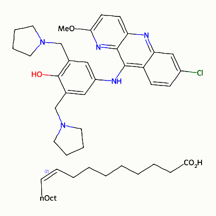 CCCCCCCC/C=C\CCCCCCCC(=O)O.COc1ccc2nc3cc(Cl)ccc3c(Nc3cc(CN4CCCC4)c(O)c(CN4CCCC4)c3)c2n1